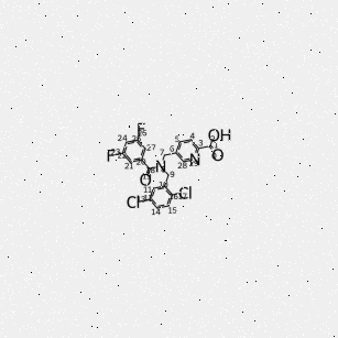 O=C(O)c1ccc(CN(Cc2cc(Cl)ccc2Cl)C(=O)c2cc(F)cc(F)c2)cn1